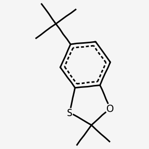 CC1(C)Oc2ccc(C(C)(C)C)cc2S1